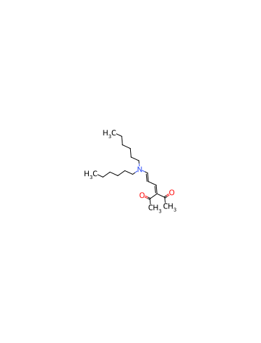 CCCCCCN(/C=C/C=C(C(C)=O)C(C)=O)CCCCCC